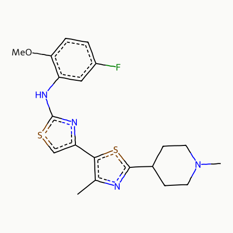 COc1ccc(F)cc1Nc1nc(-c2sc(C3CCN(C)CC3)nc2C)cs1